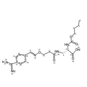 CCCCOC(=O)N[C@@H](CNC(=O)CCON=Cc1ccc(C(=N)N)cc1)C(=O)O